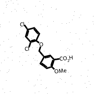 COc1ccc(COc2ccc(Cl)cc2Cl)cc1C(=O)O